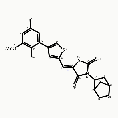 COc1cc(C)cc(-c2csc(/C=C3\SC(=S)N(C4CC5CCC4C5)C3=O)c2)c1C